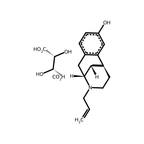 C=CCN1CC[C@]23CCCC[C@H]2[C@H]1Cc1ccc(O)cc13.O=C(O)[C@H](O)[C@@H](O)C(=O)O